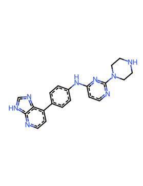 c1cc(Nc2ccc(-c3ccnc4[nH]cnc34)cc2)nc(N2CCNCC2)n1